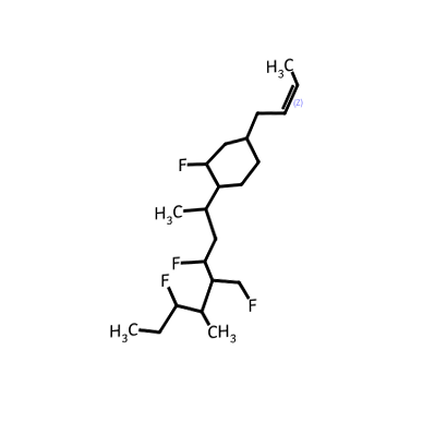 C/C=C\CC1CCC(C(C)CC(F)C(CF)C(C)C(F)CC)C(F)C1